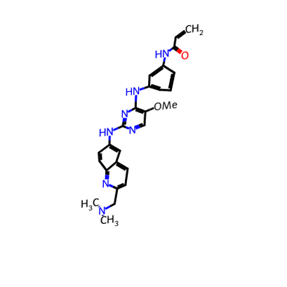 C=CC(=O)Nc1cccc(Nc2nc(Nc3ccc4nc(CN(C)C)ccc4c3)ncc2OC)c1